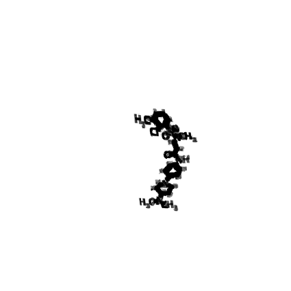 Cc1cccc(S(=O)(=O)N(C)CCC(=O)Nc2ccc(N3CCC(N(C)C)CC3)cc2)c1Cl